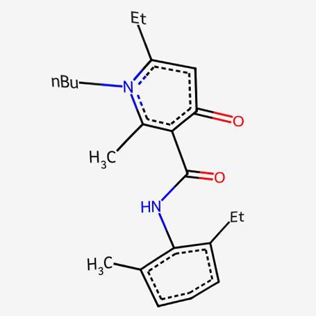 CCCCn1c(CC)cc(=O)c(C(=O)Nc2c(C)cccc2CC)c1C